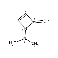 CN(C)N1C=CC1=O